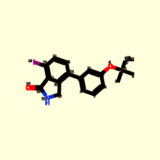 CC(C)(C)[Si](C)(C)Oc1cccc(-c2ccc(I)c3c2CNC3=O)c1